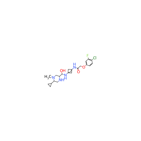 CN1CC(C(O)NC23CC(NC(=O)COc4ccc(Cl)c(F)c4)(C2)C3)NCC1C1CC1